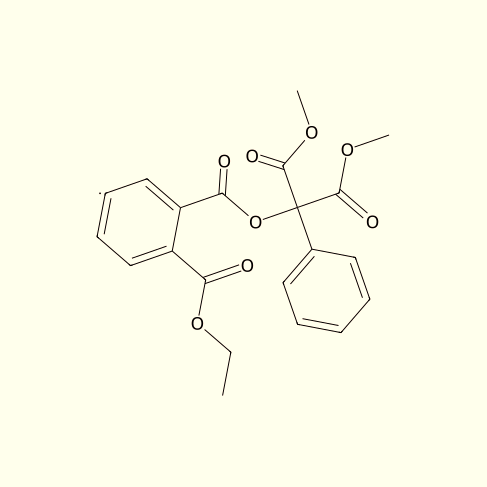 CCOC(=O)c1cc[c]cc1C(=O)OC(C(=O)OC)(C(=O)OC)c1ccccc1